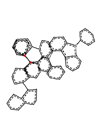 c1ccc(-c2ccccc2-c2c(-c3ccccc3)cccc2-c2ccccc2N(c2cccc(-c3cccc4ccccc34)c2)c2cccc(-c3cccc4c3c3ccccc3n4-c3ccccc3)c2)cc1